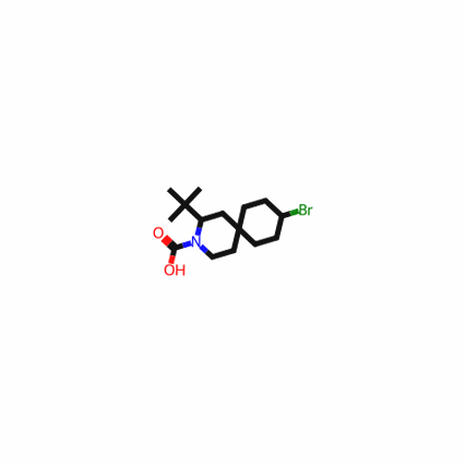 CC(C)(C)C1CC2(CCC(Br)CC2)CCN1C(=O)O